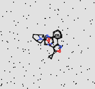 O=C(O)c1cncc(N2C3CCC2CC(OCc2c(-c4ccccc4OC(F)(F)F)noc2C2CC2)C3)n1